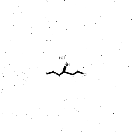 CCCC(=N)CCCl.Cl